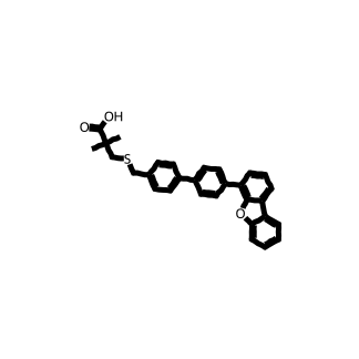 CC(C)(CSCc1ccc(-c2ccc(-c3cccc4c3oc3ccccc34)cc2)cc1)C(=O)O